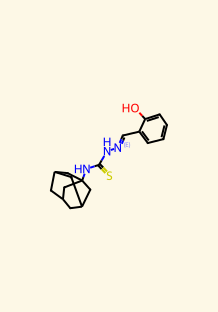 Oc1ccccc1/C=N/NC(=S)NC12CC3CC(CC(C3)C1)C2